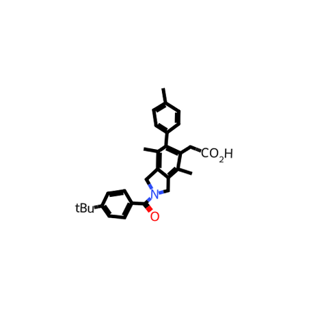 Cc1ccc(-c2c(C)c3c(c(C)c2CC(=O)O)CN(C(=O)c2ccc(C(C)(C)C)cc2)C3)cc1